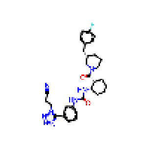 N#CCCn1nnnc1-c1cccc(NC(=O)N[C@@H]2CCCC[C@H]2C(=O)N2CCC[C@@H](Cc3ccc(F)cc3)C2)c1